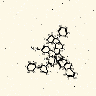 NC1=CCC(N2C3=C(CCC=C3)C3CCC4C(C5=C(CCCC5)N4C4C=CC=CC4)C32)C(C2NC(C3C=C(C4C=CCCC4)C=CC3)=NC(C3=CC4=C(CC3)SC3CC=CCC43)N2)=C1